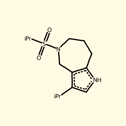 CC(C)c1c[nH]c2c1CN(S(=O)(=O)C(C)C)CCC2